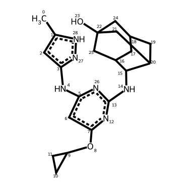 Cc1cc(Nc2cc(OC3CC3)nc(NC3C4CC5CC3CC(O)(C5)C4)n2)n[nH]1